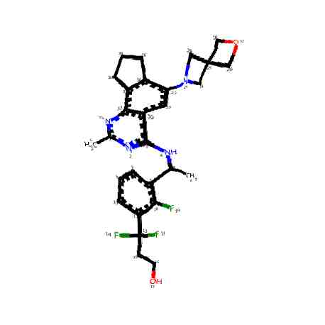 Cc1nc(NC(C)c2cccc(C(F)(F)CCO)c2F)c2cc(N3CC4(COC4)C3)c3c(c2n1)CCC3